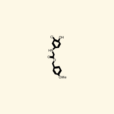 COc1ccc(COC(=O)CNc2ccc(O)c(Cl)c2)cc1